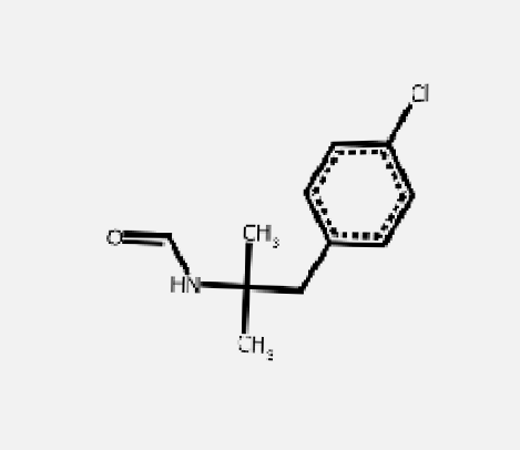 CC(C)(Cc1ccc(Cl)cc1)NC=O